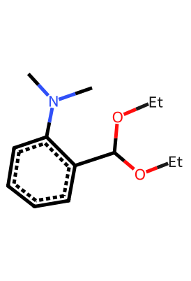 CCOC(OCC)c1ccccc1N(C)C